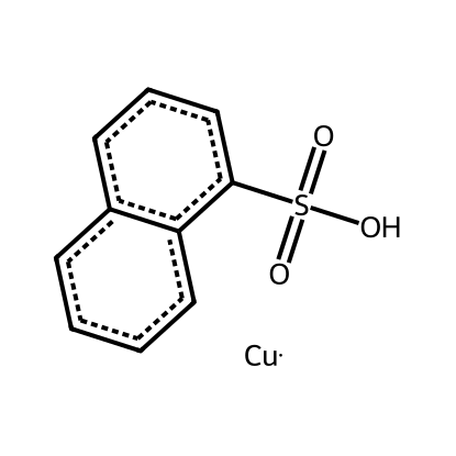 O=S(=O)(O)c1cccc2ccccc12.[Cu]